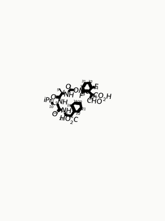 COC(=O)N[C@H](C)C(=O)N[C@@H](CC(C)C)C(=O)N[C@@H](Cc1ccccc1)C(=O)O.O=CC(C(=O)O)c1c(F)cccc1F